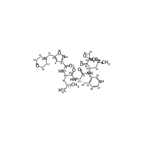 CC(C)CC(NC(=O)c1cc(CN2CCOCC2)on1)C(=O)N[C@@H](Cc1ccncc1)C(=O)NC(CC(C)C)C(=O)C1(C)CO1